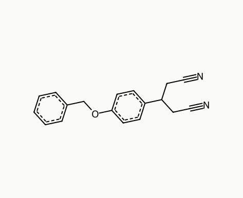 N#CCC(CC#N)c1ccc(OCc2ccccc2)cc1